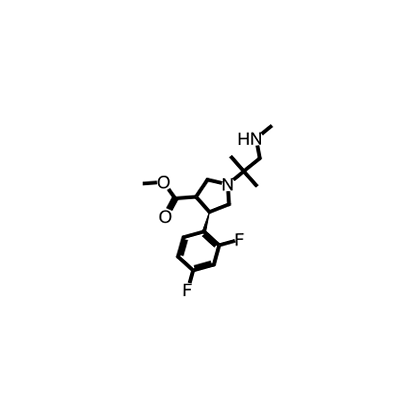 CNCC(C)(C)N1CC(C(=O)OC)[C@H](c2ccc(F)cc2F)C1